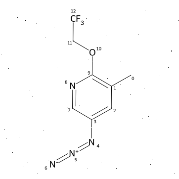 Cc1cc(N=[N+]=[N-])cnc1OCC(F)(F)F